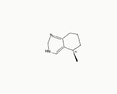 C[C@@H]1CCCC2=NCNC=C21